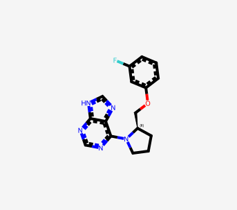 Fc1cccc(OC[C@H]2CCCN2c2ncnc3[nH]cnc23)c1